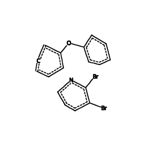 Brc1cccnc1Br.c1ccc(Oc2ccccc2)cc1